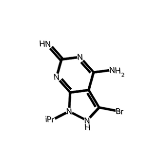 CC(C)n1[nH]c(Br)c2c(N)nc(=N)nc1-2